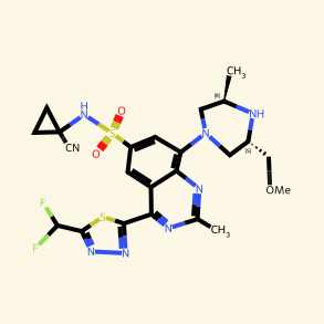 COC[C@@H]1CN(c2cc(S(=O)(=O)NC3(C#N)CC3)cc3c(-c4nnc(C(F)F)s4)nc(C)nc23)C[C@@H](C)N1